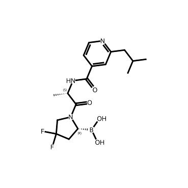 CC(C)Cc1cc(C(=O)N[C@@H](C)C(=O)N2CC(F)(F)C[C@H]2B(O)O)ccn1